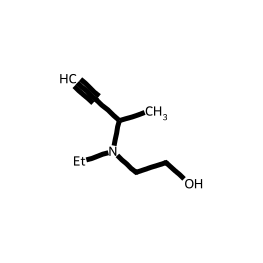 C#CC(C)N(CC)CCO